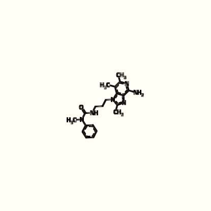 Cc1nc(N)c2nc(C)n(CCCNC(=O)N(C)c3ccccc3)c2c1C